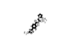 CC1CCCN1C[C@@H](C)NC(=O)c1ccc(-c2noc(C(F)(F)F)n2)c(F)c1